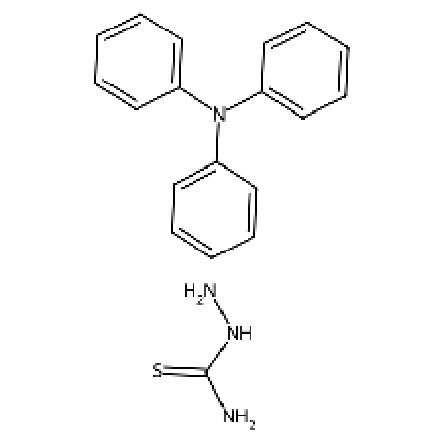 NNC(N)=S.c1ccc(N(c2ccccc2)c2ccccc2)cc1